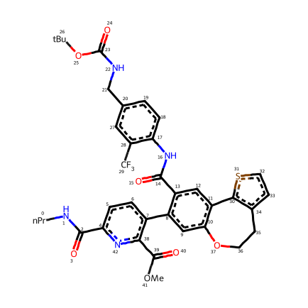 CCCNC(=O)c1ccc(-c2cc3c(cc2C(=O)Nc2ccc(CNC(=O)OC(C)(C)C)cc2C(F)(F)F)-c2sccc2CCO3)c(C(=O)OC)n1